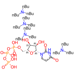 CCCCN(CCCC)CCCC.CCCCN(CCCC)CCCC.CCCCN(CCCC)CCCC.CCCCN(CCCC)CCCC.O=c1ccn([C@@H]2O[C@H](COP(=O)(O)OP(=O)(O)OP(=O)(O)O)[C@@H](O)[C@H]2O)c(=O)[nH]1